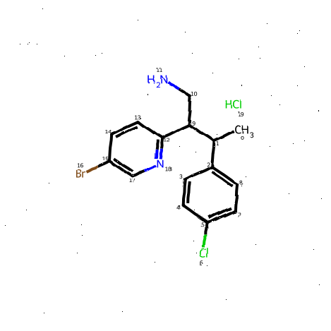 CC(c1ccc(Cl)cc1)C(CN)c1ccc(Br)cn1.Cl